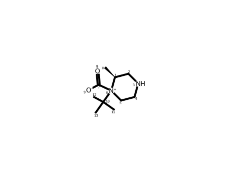 C[C@H]1CNCC[N+]1(C(=O)[O-])C(C)(C)C